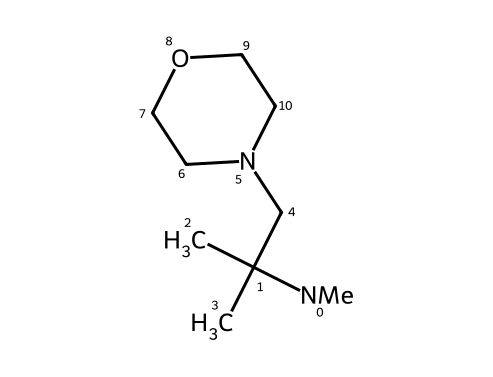 CNC(C)(C)CN1CCOCC1